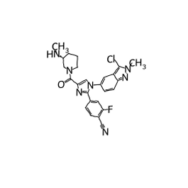 CN[C@H]1CCCN(C(=O)c2cn(-c3ccc4nn(C)c(Cl)c4c3)c(-c3ccc(C#N)c(F)c3)n2)C1